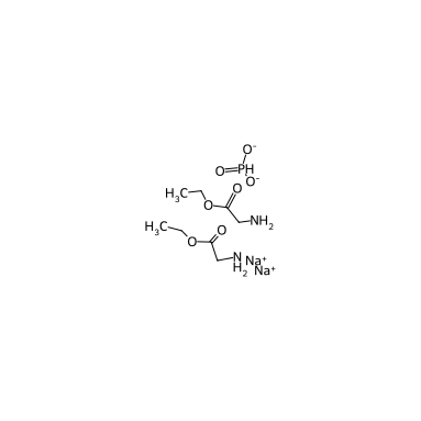 CCOC(=O)CN.CCOC(=O)CN.O=[PH]([O-])[O-].[Na+].[Na+]